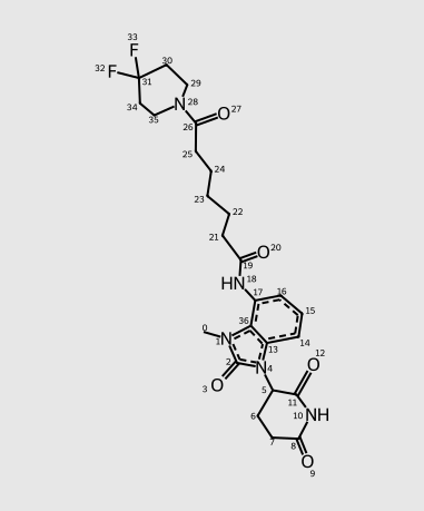 Cn1c(=O)n(C2CCC(=O)NC2=O)c2cccc(NC(=O)CCCCCC(=O)N3CCC(F)(F)CC3)c21